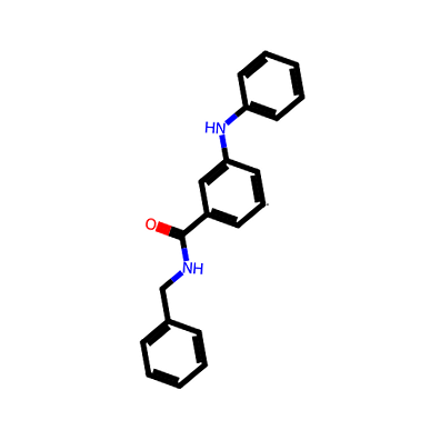 O=C(NCc1ccccc1)c1c[c]cc(Nc2ccccc2)c1